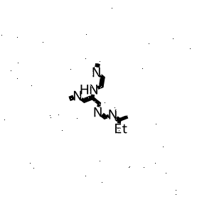 C=N/C=C\N/C(=C\N=C)C/N=C\N=C(\C)CC